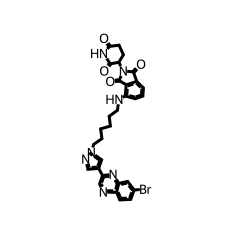 O=C1CCC(N2C(=O)c3cccc(NCCCCCCn4cc(-c5cnc6ccc(Br)cc6n5)cn4)c3C2=O)C(=O)N1